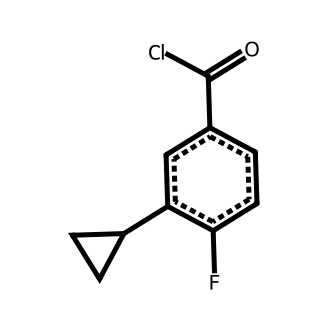 O=C(Cl)c1ccc(F)c(C2CC2)c1